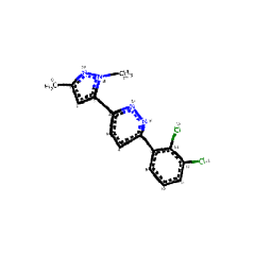 Cc1cc(-c2ccc(-c3cccc(Cl)c3Cl)nn2)n(C)n1